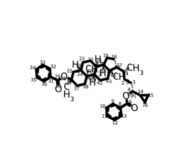 C[C@H](CC[C@@H](OC(=O)c1ccccc1)C1CC1)[C@H]1CC[C@H]2[C@@H]3CC[C@H]4C[C@@](C)(OC(=O)c5ccccc5)CC[C@]4(C)[C@H]3CC[C@]12C